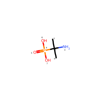 CC(C)(N)P(=O)(O)O